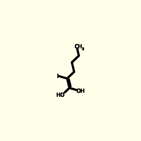 CCCCC(I)=C(O)O